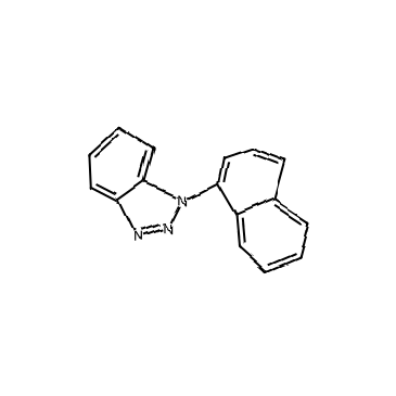 c1ccc2c(-n3nnc4ccccc43)cccc2c1